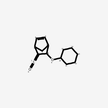 O=C=C1C2C=CC(C2)C1OC1CCCCC1